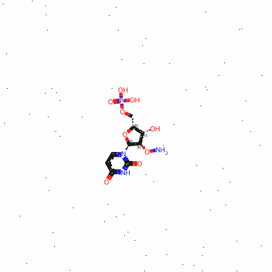 NO[C@@H]1[C@@H](O)[C@@H](COP(=O)(O)O)O[C@H]1n1ccc(=O)[nH]c1=O